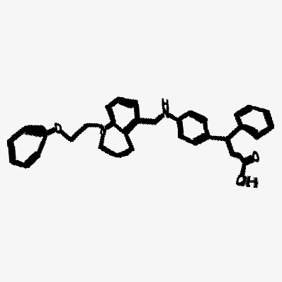 O=C(O)CC(c1ccccc1)c1ccc(NCc2cccc3c2CCCN3CCOc2ccccc2)cc1